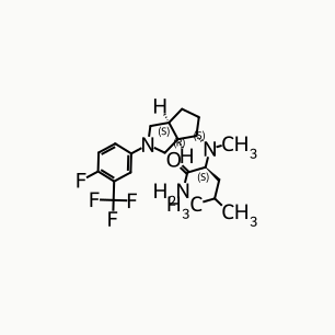 CC(C)C[C@@H](C(N)=O)N(C)[C@H]1CC[C@@H]2CN(c3ccc(F)c(C(F)(F)F)c3)C[C@@H]21